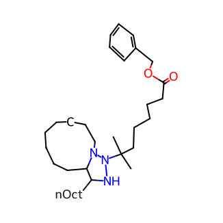 CCCCCCCCC1NN(C(C)(C)CCCCCC(=O)OCc2ccccc2)N2CCCCCCCCC12